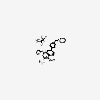 CC(=O)N1c2ccc(-c3ccc(CN4CCCCC4)cc3)cc2[C@H](Nc2ccccn2)C[C@@H]1C.O=C(O)C(F)(F)F